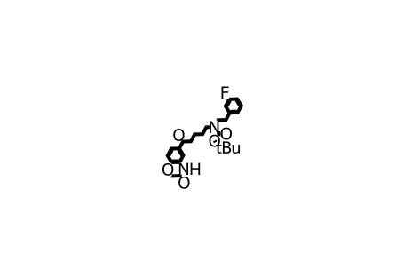 CC(C)(C)OC(=O)N(CCCCC(=O)c1ccc2c(c1)NC(=O)CO2)CCc1cccc(F)c1